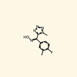 Cc1cc(C(=NO)c2nnnn2C)ccc1F